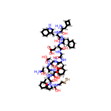 C=C(N[C@@H](CC(=O)O)C(O)N[C@@H](CC(N)O)C(=C)N[C@@H](C(C)O)C(O)N[C@@H](CC1CCCCC1)C(O)N1CCC[C@H]1C(O)NCCSS)[C@H](CC1C=CC(O)CC1)NC(O)CNC(O)[C@H](CCC(=O)O)NC(=C)[C@H](CC1CCCCC1)NC(O)[C@H](CC1CNC2CCCCC12)NC(O)C(N)CC1CCC1